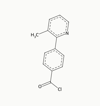 Cc1cccnc1-c1ccc(C(=O)Cl)cc1